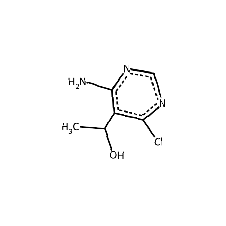 CC(O)c1c(N)ncnc1Cl